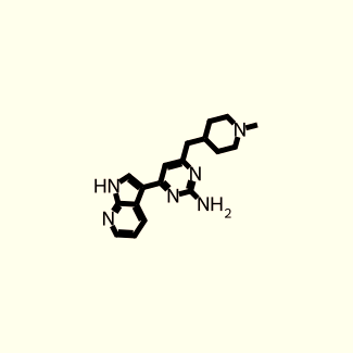 CN1CCC(Cc2cc(-c3c[nH]c4ncccc34)nc(N)n2)CC1